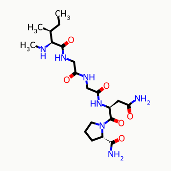 CC[C@H](C)[C@H](NC)C(=O)NCC(=O)NCC(=O)N[C@@H](CC(N)=O)C(=O)N1CCC[C@H]1C(N)=O